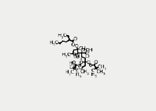 CCCCC(CC)C(=O)OOC(C)(CC(C)C)C1(C(C)(CCC(CC(C)C)(OOC(=O)C(C)(C)C)OOC(=O)C(C)(C)C)C(=O)O)OO1